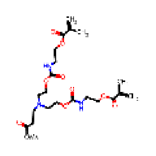 C=C(C)C(=O)OCCNC(=O)OCCN(CCOC(=O)NCCOC(=O)C(=C)C)CCC(=O)OC